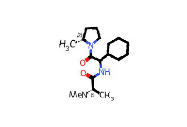 CN[C@@H](C)C(=O)NC(C(=O)N1CCC[C@H]1C)C1CCCCC1